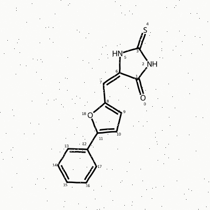 O=C1NC(=S)N/C1=C/c1ccc(-c2ccccc2)o1